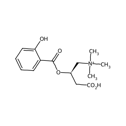 C[N+](C)(C)C[C@@H](CC(=O)O)OC(=O)c1ccccc1O